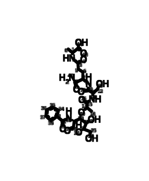 CC(NC(=O)CCC(NC(=O)C(CO)NC(=O)C(C)O[C@@H]([C@H](O)[C@H](O)CO)[C@H](C=O)NC(=O)c1ccccc1)C(N)=O)C(=O)O